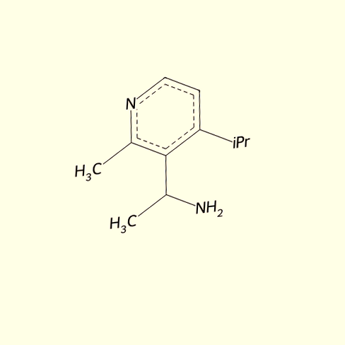 Cc1nccc(C(C)C)c1C(C)N